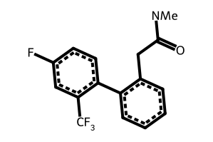 CNC(=O)Cc1ccccc1-c1ccc(F)cc1C(F)(F)F